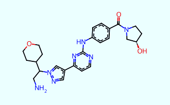 NCC(C1CCOCC1)n1cc(-c2ccnc(Nc3ccc(C(=O)N4CC[C@@H](O)C4)cc3)n2)cn1